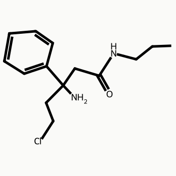 CCCNC(=O)CC(N)(CCCl)c1ccccc1